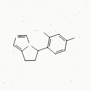 COc1cc(C#N)ccc1C1CCc2cncn21